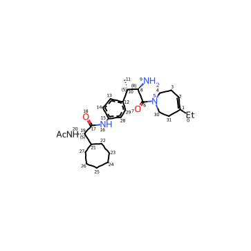 CCC1=CCCN(C(=O)[C@H](N)[C@@H](C)c2ccc(NC(=O)[C@@H](NC(C)=O)C3CCCCCC3)cc2)CC1